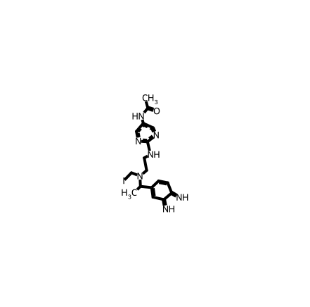 CC(=O)Nc1cnc(NCCN(CI)C(C)C2=CC(=N)C(=N)C=C2)nc1